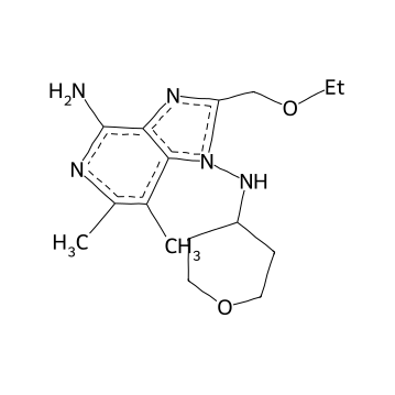 CCOCc1nc2c(N)nc(C)c(C)c2n1NC1CCOCC1